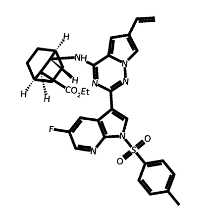 C=Cc1cc2c(N[C@H]3[C@H]4CC[C@H](CC4)[C@@H]3C(=O)OCC)nc(-c3cn(S(=O)(=O)c4ccc(C)cc4)c4ncc(F)cc34)nn2c1